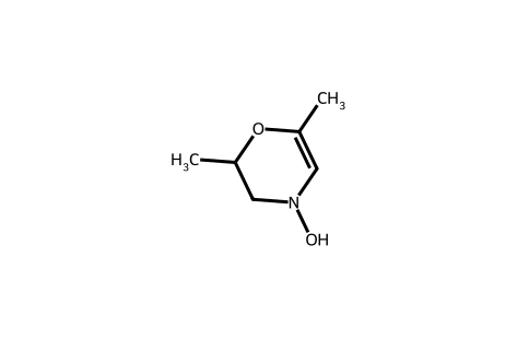 CC1=CN(O)CC(C)O1